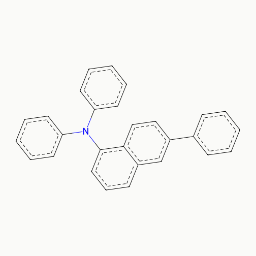 c1ccc(-c2ccc3c(N(c4ccccc4)c4ccccc4)cccc3c2)cc1